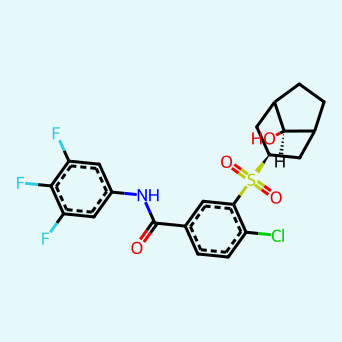 O=C(Nc1cc(F)c(F)c(F)c1)c1ccc(Cl)c(S(=O)(=O)[C@H]2CC3CCC(C2)[C@H]3O)c1